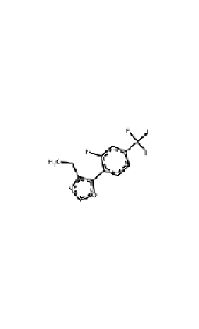 CCc1ncoc1-c1ccc(C(F)(F)F)cc1F